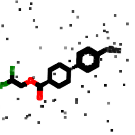 CCCCCCCCCCc1ccc([C@H]2CC[C@H](C(=O)OCC(F)F)CC2)cc1